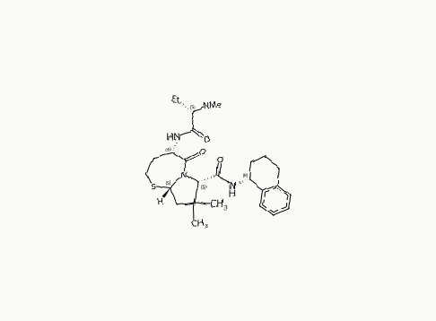 CC[C@H](NC)C(=O)N[C@H]1CCS[C@H]2CC(C)(C)[C@@H](C(=O)N[C@@H]3CCCc4ccccc43)N2C1=O